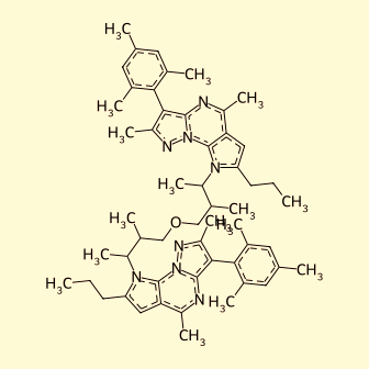 CCCc1cc2c(C)nc3c(-c4c(C)cc(C)cc4C)c(C)nn3c2n1C(C)C(C)COCC(C)C(C)n1c(CCC)cc2c(C)nc3c(-c4c(C)cc(C)cc4C)c(C)nn3c21